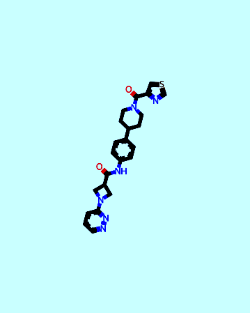 O=C(Nc1ccc(C2CCN(C(=O)c3cscn3)CC2)cc1)C1CN(c2cccnn2)C1